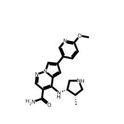 COc1ccc(-c2cc3c(N[C@@H]4CNC[C@@H]4C)c(C(N)=O)cnn3c2)cn1